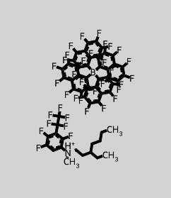 CCCCC(CC)CC[NH+](C)c1cc(F)c(F)c(C(F)(F)C(F)(F)F)c1F.Fc1c(F)c(F)c2c([B-](c3c(F)c(F)c(F)c4c(F)c(F)c(F)c(F)c34)(c3c(F)c(F)c(F)c4c(F)c(F)c(F)c(F)c34)c3c(F)c(F)c(F)c4c(F)c(F)c(F)c(F)c34)c(F)c(F)c(F)c2c1F